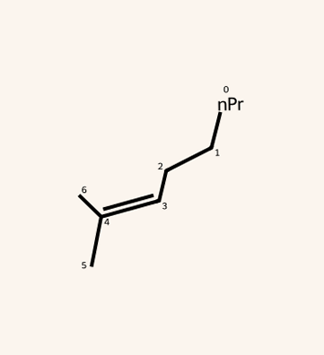 [CH2]CCCCC=C(C)C